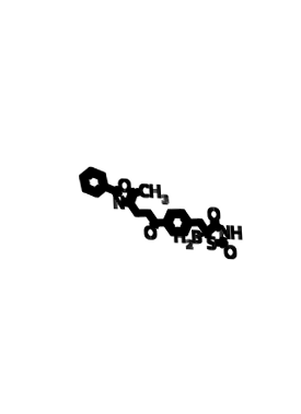 B[C@@]1(Cc2ccc(C(=O)CCc3nc(-c4ccccc4)oc3C)cc2)SC(=O)NC1=O